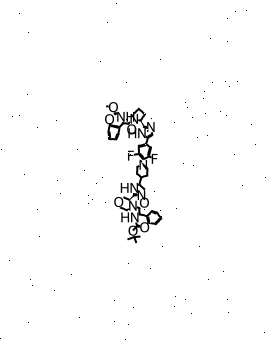 COC(=O)N[C@@H](C(=O)N1CCC[C@H]1c1ncc(-c2cc(F)c(N3CCC(C4CN=C([C@@H]5COCCN5C(=O)[C@H](NC(=O)OC(C)(C)C)c5ccccc5)N4)CC3)c(F)c2)[nH]1)c1ccccc1